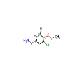 CCOc1c(Cl)cc(CN)cc1Cl